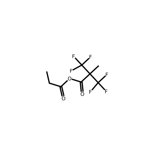 CCC(=O)OC(=O)C(C)(C(F)(F)F)C(F)(F)F